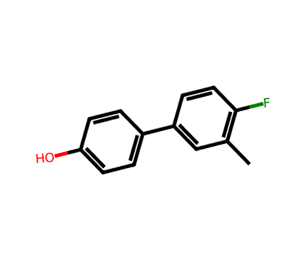 Cc1cc(-c2ccc(O)cc2)ccc1F